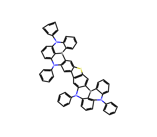 c1ccc(N2c3ccccc3B3c4cc5sc6cc7c(cc6c5cc4N(c4ccccc4)c4cccc2c43)N(c2ccccc2)c2cccc3c2B7c2ccccc2N3c2ccccc2)cc1